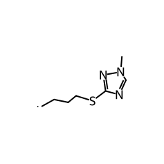 [CH2]CCCSc1ncn(C)n1